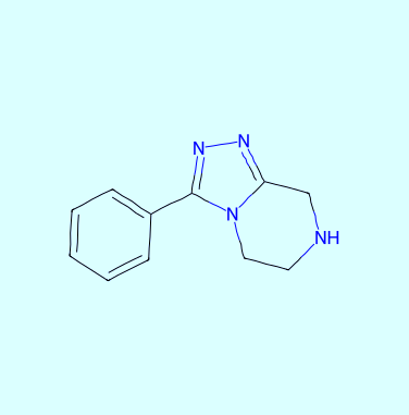 c1ccc(-c2nnc3n2CCNC3)cc1